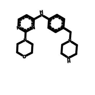 c1cc(Nc2ccc(CN3CCNCC3)cc2)nc(N2CCOCC2)n1